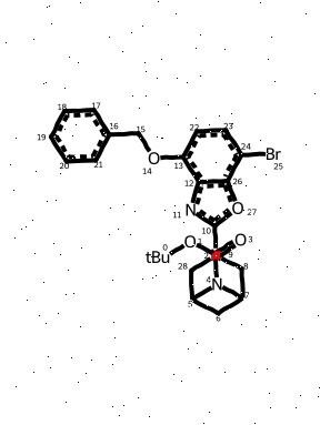 CC(C)(C)OC(=O)N1C2CC1CN(c1nc3c(OCc4ccccc4)ccc(Br)c3o1)C2